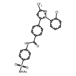 CC(=O)NS(=O)(=O)c1ccc(NC(=O)c2ccc(-c3cc(C(F)(F)F)nn3-c3ccccc3Cl)cc2)cc1